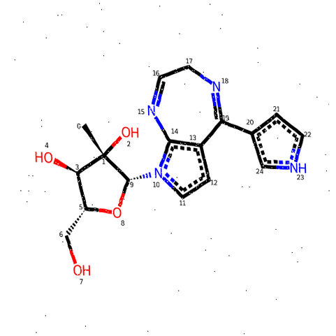 C[C@]1(O)[C@H](O)[C@@H](CO)O[C@H]1n1ccc2c1N=CCN=C2c1cc[nH]c1